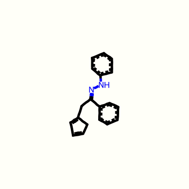 C1=CCC(CC(=NNc2ccccc2)c2ccccc2)=C1